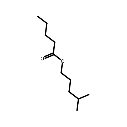 CCCCC(=O)OCCCC(C)C